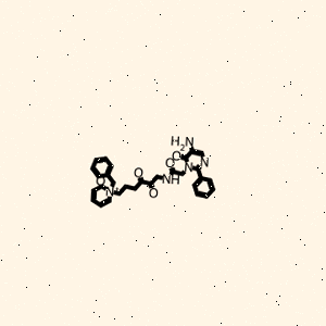 Nc1cnc(-c2ccccc2)n(CC(=O)NCC(=O)C(=O)CCC[N+]2(Cc3ccccc3)C=CC=CC2=O)c1=O